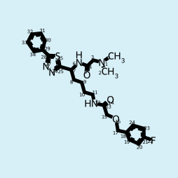 CN(C)CC(=O)NC(CCCCNC(=O)COCc1ccc(F)cc1)c1nnc(-c2ccccc2)s1